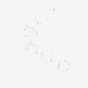 CC1CCN(c2ncc3c(n2)N(CC(=O)N2CCN(c4cccnc4)CC2)NC3)CC1